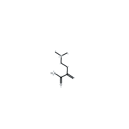 C=C(CCN(C)C)C(N)=O